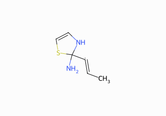 C/C=[C]/C1(N)NC=CS1